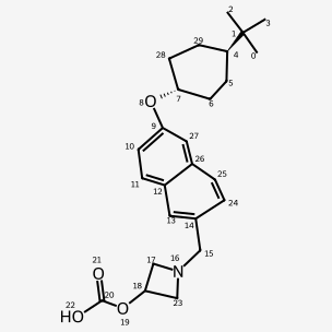 CC(C)(C)[C@H]1CC[C@H](Oc2ccc3cc(CN4CC(OC(=O)O)C4)ccc3c2)CC1